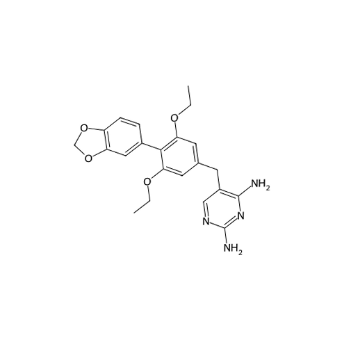 CCOc1cc(Cc2cnc(N)nc2N)cc(OCC)c1-c1ccc2c(c1)OCO2